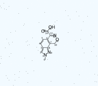 Cn1cc2ccc3c(c2n1)CON=C3C(=O)O